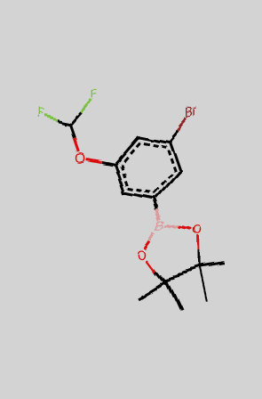 CC1(C)OB(c2cc(Br)cc(OC(F)F)c2)OC1(C)C